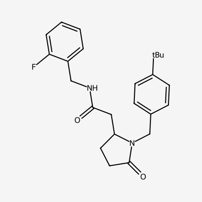 CC(C)(C)c1ccc(CN2C(=O)CCC2CC(=O)NCc2ccccc2F)cc1